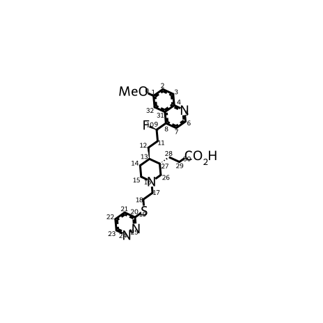 COc1ccc2nccc([C@H](F)CC[C@@H]3CCN(CCSc4cccnn4)C[C@H]3CCC(=O)O)c2c1